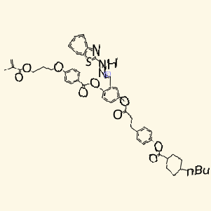 C=C(C)C(=O)OCCCOc1ccc(C(=O)Oc2ccc(OC(=O)CCc3ccc(OC(=O)C4CCC(CCCC)CC4)cc3)cc2/C=N/Nc2nc3ccccc3s2)cc1